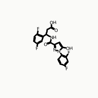 O=C(O)CC(NC(=O)c1cc(O)n(-c2ccc(F)cc2F)n1)c1cc(F)ccc1F